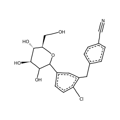 N#Cc1ccc(Cc2cc(C3O[C@H](CO)[C@@H](O)[C@H](O)C3O)ccc2Cl)cc1